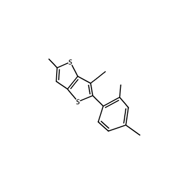 Cc1ccc(-c2sc3cc(C)sc3c2C)c(C)c1